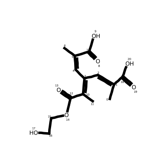 CC(=CC(C=C(C)C(=O)O)=C(C)C(=O)OCCO)C(=O)O